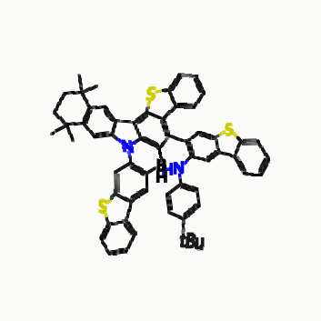 CC(C)(C)c1ccc(Nc2cc3c(cc2-c2c4c5c(c6cc7c(cc6n5-c5cc6sc8ccccc8c6cc5B4)C(C)(C)CCC7(C)C)c4sc5ccccc5c24)sc2ccccc23)cc1